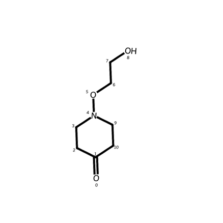 O=C1CCN(OCCO)CC1